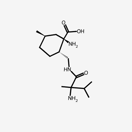 CC(C)C(C)(N)C(=O)NC[C@@H]1CC[C@@H](C)C[C@]1(N)C(=O)O